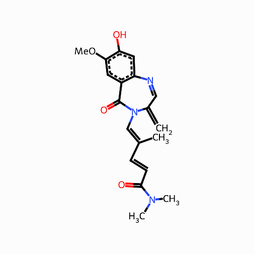 C=C1C=Nc2cc(O)c(OC)cc2C(=O)N1/C=C(C)/C=C/C(=O)N(C)C